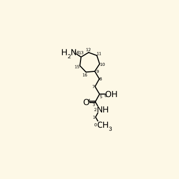 CCNC(=O)C(O)CCC1CCCC(N)CC1